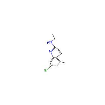 CCNc1ccc2c(C)cc(Br)cc2n1